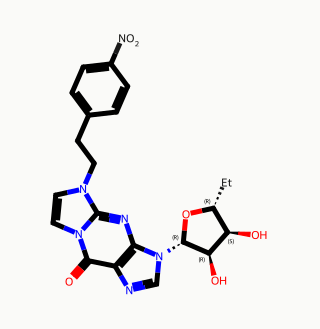 CC[C@H]1O[C@@H](n2cnc3c(=O)n4ccn(CCc5ccc([N+](=O)[O-])cc5)c4nc32)[C@H](O)[C@@H]1O